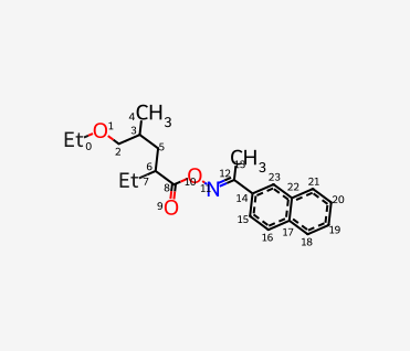 CCOCC(C)CC(CC)C(=O)ON=C(C)c1ccc2ccccc2c1